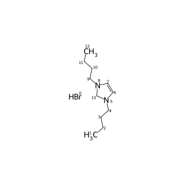 Br.CCCCN1C=CN(CCCC)C1